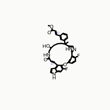 COC(=O)/C=C/c1cccc(C2(C)CCCC(O)CNC(=O)/C=C/c3c(c(F)cc4[nH]ccc34)Oc3ccc(F)c(c3)-c3ncc2[nH]3)c1